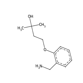 CC(C)(O)CCOc1ccc[c]c1CN